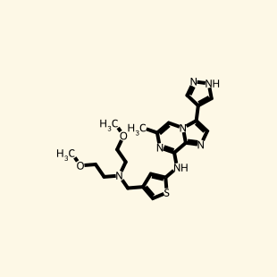 COCCN(CCOC)Cc1csc(Nc2nc(C)cn3c(-c4cn[nH]c4)cnc23)c1